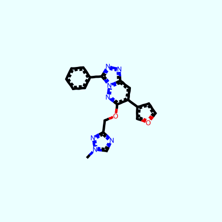 Cn1cnc(COc2nn3c(-c4ccccc4)nnc3cc2-c2ccoc2)n1